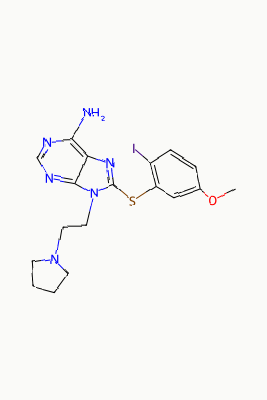 COc1ccc(I)c(Sc2nc3c(N)ncnc3n2CCN2CCCC2)c1